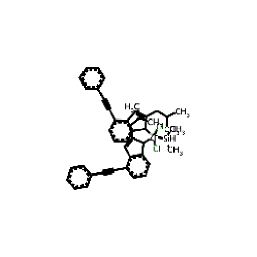 CC(C)CC1=Cc2c(C#Cc3ccccc3)cccc2[CH]1[Zr]([Cl])([Cl])([CH]1C(CC(C)C)=Cc2c(C#Cc3ccccc3)cccc21)[SiH](C)C